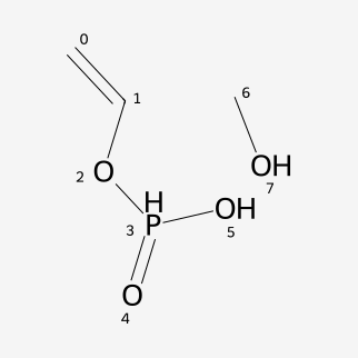 C=CO[PH](=O)O.CO